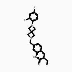 CCc1cc2ccc(CN3CC4(C3)CN(c3ccc(F)cc3F)C4)cc2[nH]c1=O